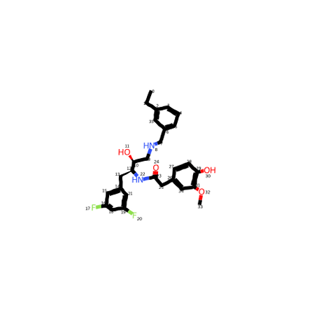 CCc1cccc(CNC[C@H](O)[C@H](Cc2cc(F)cc(F)c2)NC(=O)Cc2ccc(O)c(OC)c2)c1